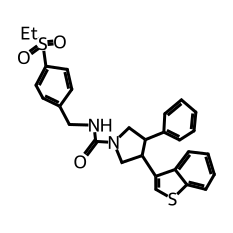 CCS(=O)(=O)c1ccc(CNC(=O)N2CC(c3ccccc3)C(c3csc4ccccc34)C2)cc1